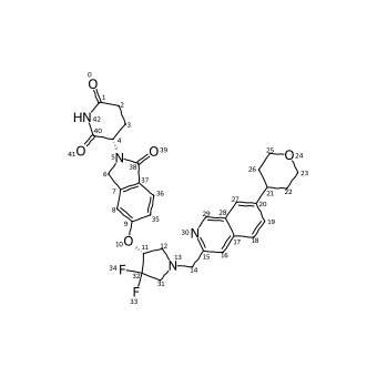 O=C1CC[C@H](N2Cc3cc(O[C@@H]4CN(Cc5cc6ccc(C7CCOCC7)cc6cn5)CC4(F)F)ccc3C2=O)C(=O)N1